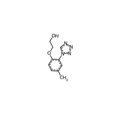 Cc1ccc(OCCO)c(-n2cnnn2)c1